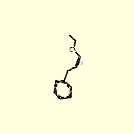 CCO/C=C\Cc1ccccc1